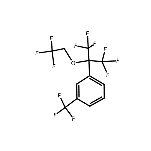 FC(F)(F)COC(c1c[c]cc(C(F)(F)F)c1)(C(F)(F)F)C(F)(F)F